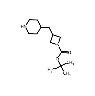 CC(C)(C)OC(=O)N1CC(CC2CCNCC2)C1